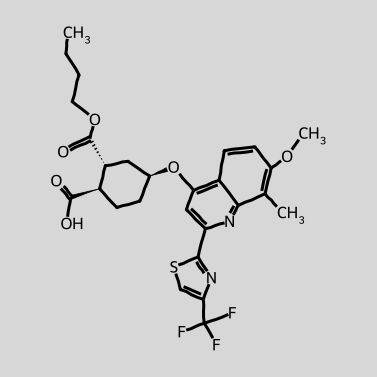 CCCCOC(=O)[C@@H]1C[C@@H](Oc2cc(-c3nc(C(F)(F)F)cs3)nc3c(C)c(OC)ccc23)CC[C@H]1C(=O)O